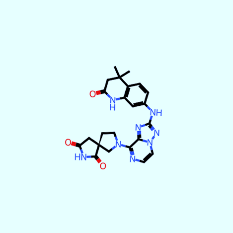 CC1(C)CC(=O)Nc2cc(Nc3nc4c(N5CC[C@@]6(CC(=O)NC6=O)C5)nccn4n3)ccc21